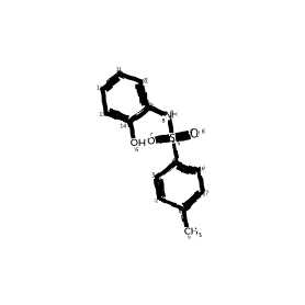 Cc1ccc(S(=O)(=O)Nc2ccccc2O)cc1